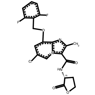 Cc1nc2c(OCc3c(F)cccc3F)cc(Cl)cn2c1C(=O)N[C@@H]1CCOC1=O